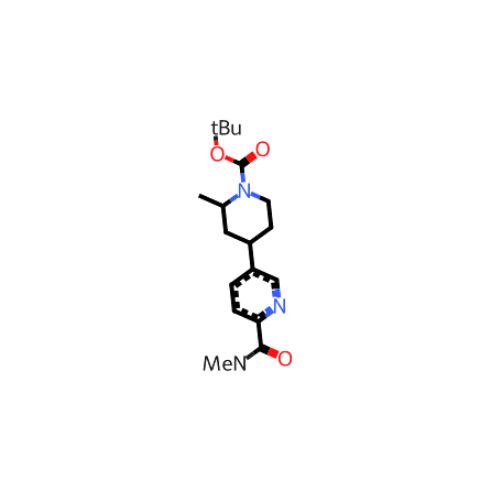 CNC(=O)c1ccc(C2CCN(C(=O)OC(C)(C)C)C(C)C2)cn1